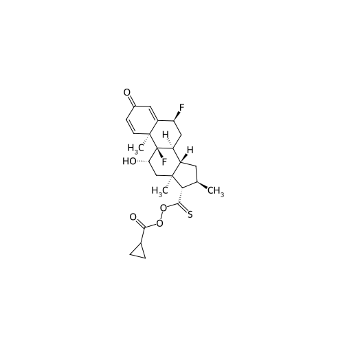 C[C@@H]1C[C@H]2[C@@H]3C[C@H](F)C4=CC(=O)C=C[C@]4(C)[C@@]3(F)[C@@H](O)C[C@]2(C)[C@H]1C(=S)OOC(=O)C1CC1